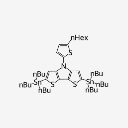 CCCCCCc1ccc(-n2c3c[c]([Sn]([CH2]CCC)([CH2]CCC)[CH2]CCC)sc3c3s[c]([Sn]([CH2]CCC)([CH2]CCC)[CH2]CCC)cc32)s1